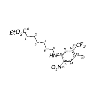 CCOC(=O)CCCCCCNc1cc(C(F)(F)F)c(C)cc1[N+](=O)[O-]